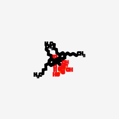 CCCCCc1ccc(C(O)(c2ccc(CCCCC)cc2CCCCC)C(CO)(CO)CO)c(CCCCC)c1.OP(O)OP(O)O